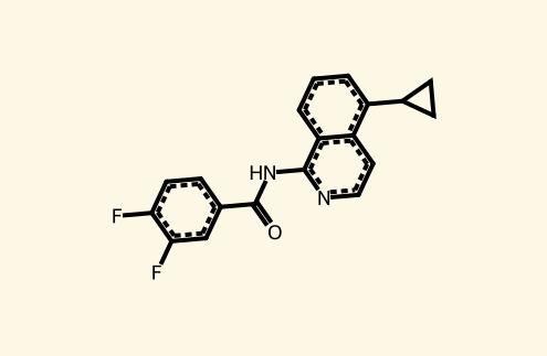 O=C(Nc1nccc2c(C3CC3)cccc12)c1ccc(F)c(F)c1